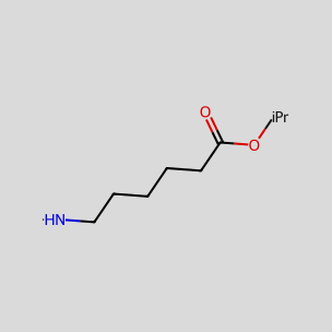 CC(C)OC(=O)CCCCC[NH]